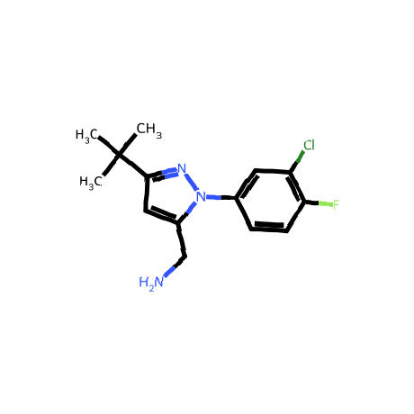 CC(C)(C)c1cc(CN)n(-c2ccc(F)c(Cl)c2)n1